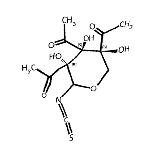 CC(=O)[C@]1(O)[C@](O)(C(C)=O)COC(N=C=S)[C@@]1(O)C(C)=O